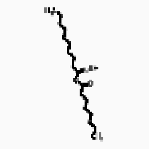 CCCCCCCCCC(=O)OC(=O)CCCCCCC.[KH]